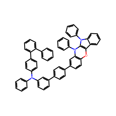 c1ccc(-c2ccccc2-c2ccc(N(c3ccccc3)c3cccc(-c4ccc(-c5ccc6c(c5)N(c5ccccc5)c5c(c7ccccc7n5-c5ccccc5)O6)cc4)c3)cc2)cc1